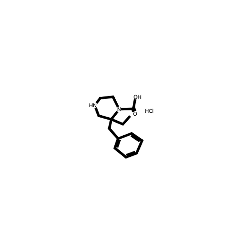 CCC1(Cc2ccccc2)CNCCN1C(=O)O.Cl